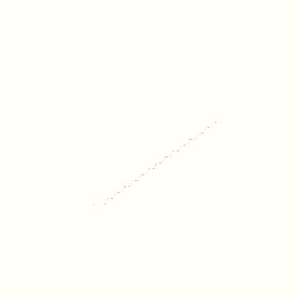 CCCCCCCCCCCCCCCCCCCCCCC[Si]CCCCCCCCCCCCCCCCCCCCCCC